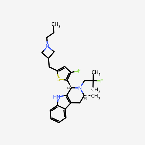 CCCN1CC(Cc2cc(F)c([C@@H]3c4[nH]c5ccccc5c4C[C@@H](C)N3CC(C)(C)F)s2)C1